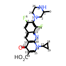 CC1CN(c2c(F)cc3cc4c(=O)c(C(=O)O)cn(C5CC5)c4nc3c2F)CCN1